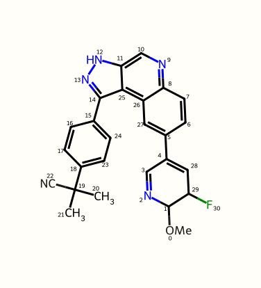 COC1N=CC(c2ccc3ncc4[nH]nc(-c5ccc(C(C)(C)C#N)cc5)c4c3c2)=CC1F